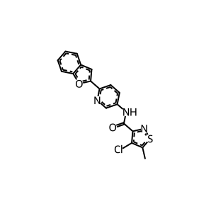 Cc1snc(C(=O)Nc2ccc(-c3cc4ccccc4o3)nc2)c1Cl